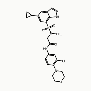 CN(CC(=O)Nc1ccc(N2CCOCC2)c(Cl)c1)S(=O)(=O)c1cc(C2CC2)cc2cn[nH]c12